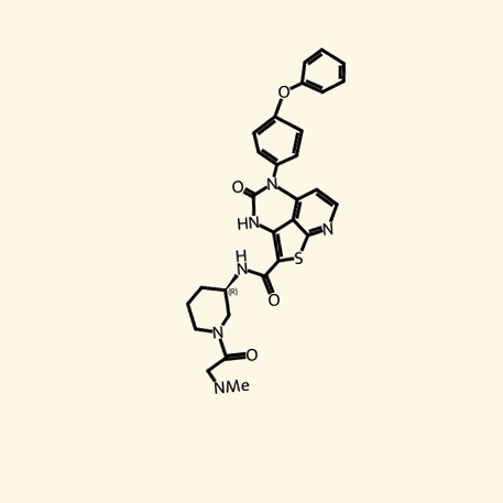 CNCC(=O)N1CCC[C@@H](NC(=O)c2sc3nccc4c3c2NC(=O)N4c2ccc(Oc3ccccc3)cc2)C1